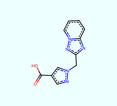 O=C(O)c1cnn(Cc2nc3ccccn3n2)c1